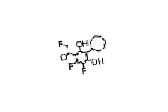 O=C(CF)c1c(O)c(C2CCCCCC2)c(O)c(F)c1F